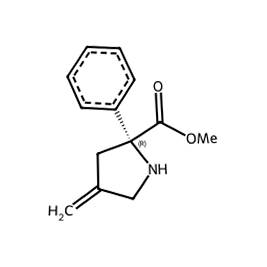 C=C1CN[C@@](C(=O)OC)(c2ccccc2)C1